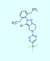 CCc1cccc(CC)c1-n1nc2c(c1Br)CN(c1ncc(C(F)(F)F)cn1)CC2